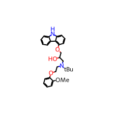 COc1ccccc1OCCN(CC(O)COc1cccc2[nH]c3ccccc3c12)C(C)(C)C